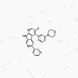 Fc1cnc2[nH]c3cnc(-c4cccnc4)cc3c2c1-c1cccc(N2CCOCC2)c1